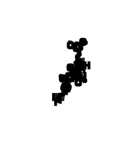 C=CC(=O)Nc1cc(N2CCN(CCC(F)(F)F)CC2)c(OC)cc1C(=O)Nc1cc(CCc2cc(OC)cc(OC)c2)n[nH]1